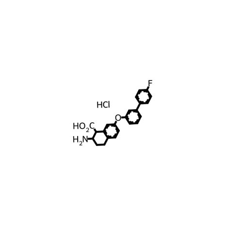 Cl.NC1CCc2ccc(Oc3cccc(-c4ccc(F)cc4)c3)cc2C1C(=O)O